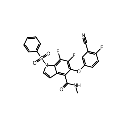 CNC(=O)c1c(Oc2ccc(F)c(C#N)c2)c(F)c(F)c2c1ccn2S(=O)(=O)c1ccccc1